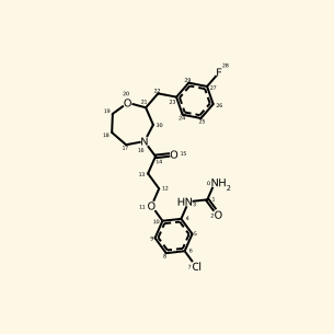 NC(=O)Nc1cc(Cl)ccc1OCCC(=O)N1CCCOC(Cc2cccc(F)c2)C1